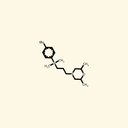 CC1CN(CCC[Si](C)(C)c2ccc(C(C)(C)C)cc2)CC(C)O1